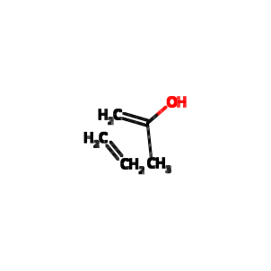 C=C.C=C(C)O